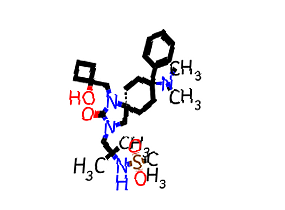 CN(C)[C@]1(c2ccccc2)CC[C@]2(CC1)CN(CC(C)(C)NS(C)(=O)=O)C(=O)N2CC1(O)CCC1